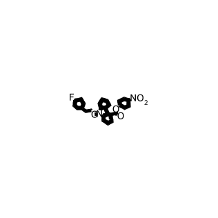 O=C(Oc1ccc([N+](=O)[O-])cc1)c1cccc2c1c1ccccc1n2OCCc1ccc(F)cc1